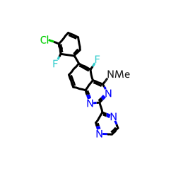 CNc1nc(-c2cnccn2)nc2ccc(-c3cccc(Cl)c3F)c(F)c12